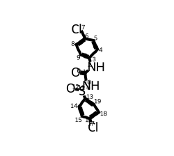 O=C(Nc1ccc(Cl)cc1)N[S+]([O-])c1ccc(Cl)cc1